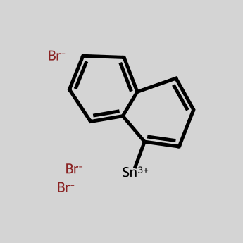 [Br-].[Br-].[Br-].[Sn+3][c]1cccc2ccccc12